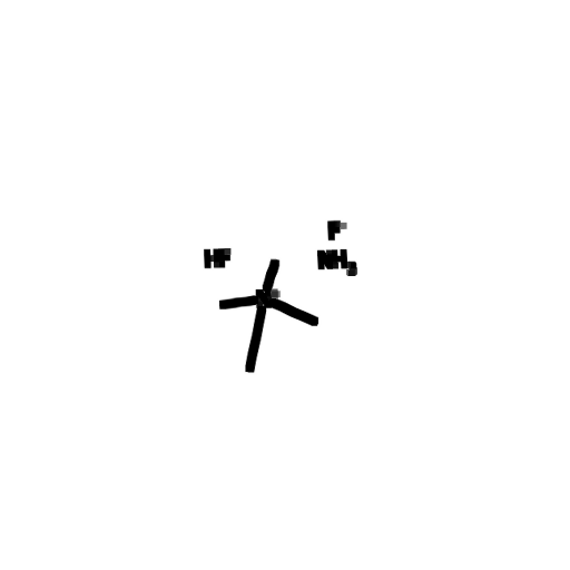 C[N+](C)(C)C.F.N.[F-]